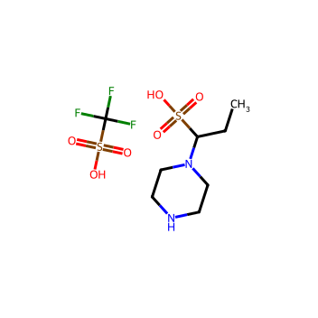 CCC(N1CCNCC1)S(=O)(=O)O.O=S(=O)(O)C(F)(F)F